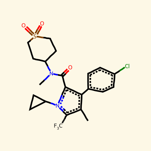 Cc1c(-c2ccc(Cl)cc2)c(C(=O)N(C)C2CCS(=O)(=O)CC2)n(C2CC2)c1C(F)(F)F